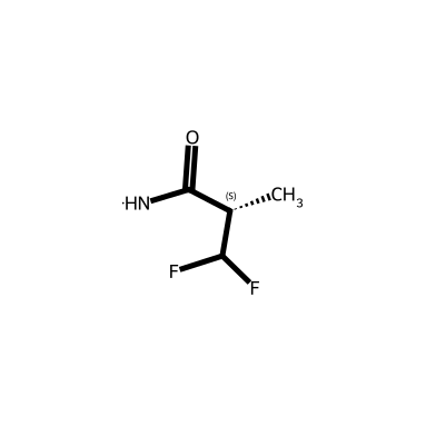 C[C@@H](C([NH])=O)C(F)F